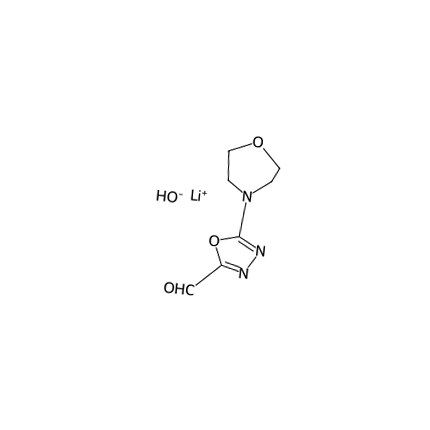 O=Cc1nnc(N2CCOCC2)o1.[Li+].[OH-]